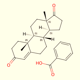 C[C@]12CCC(=O)C=C1CC[C@@H]1[C@@H]2CC[C@]2(C)C(=O)CC[C@@H]12.O=C(O)c1ccccc1